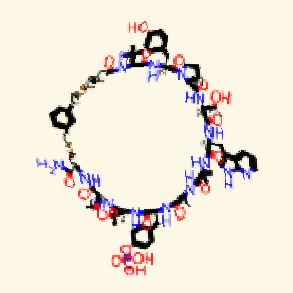 CC1O[C@@H](C)[C@@H]2NC(=O)[C@@]1(C)NC(=O)[C@H](Cc1ccc(OP(=O)(O)O)cc1)NC(=O)[C@H](C)NC(=O)C(C)(C)NC(=O)[C@H](Cc1c[nH]c3ncccc13)NC(=O)[C@H]([C@@H](C)O)NC(=O)[C@@H]1CCCN1C(=O)[C@H](Cc1ccc(O)cc1)NC(=O)C(C(C)(C)C)NC(=O)CCSCc1cccc(c1)CSC[C@@H](C(N)=O)NC2=O